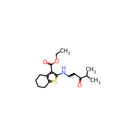 CCOC(=O)c1c(N/C=C/C(=O)C(C)C)sc2c1CCCC2